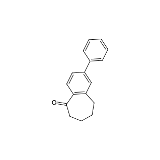 O=C1CCCCc2cc(-c3ccccc3)ccc21